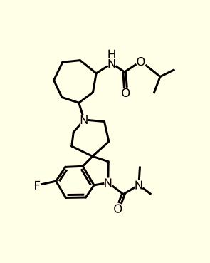 CC(C)OC(=O)NC1CCCCC(N2CCC3(CC2)CN(C(=O)N(C)C)c2ccc(F)cc23)C1